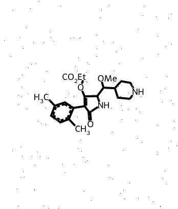 CCOC(=O)OC1=C(c2cc(C)ccc2C)C(=O)NC1C(OC)C1CCNCC1